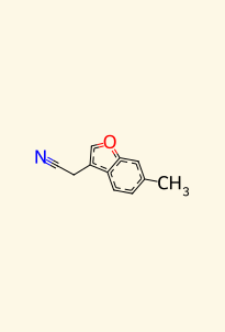 Cc1ccc2c(CC#N)coc2c1